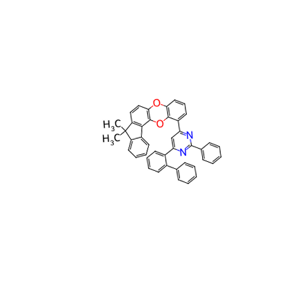 CC1(C)c2ccccc2-c2c1ccc1c2Oc2c(cccc2-c2cc(-c3ccccc3-c3ccccc3)nc(-c3ccccc3)n2)O1